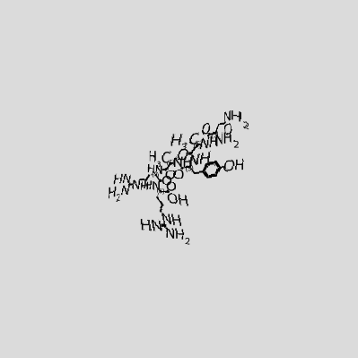 C[C@H](NC(=O)[C@H](Cc1ccc(O)cc1)NC(=O)[C@H](C)NC(=O)[C@@H](N)CC(N)=O)C(=O)N[C@@H](CCCNC(=N)N)C(=O)N[C@@H](CCCNC(=N)N)C(=O)O